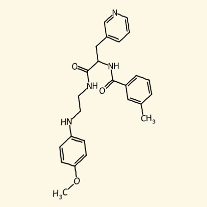 COc1ccc(NCCNC(=O)C(Cc2cccnc2)NC(=O)c2cccc(C)c2)cc1